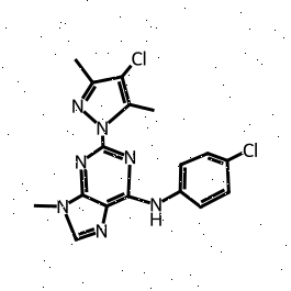 Cc1nn(-c2nc(Nc3ccc(Cl)cc3)c3ncn(C)c3n2)c(C)c1Cl